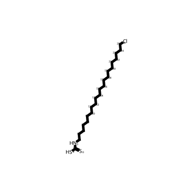 S=C(S)NCCCCCCCCCCCCCCCCCCCCCCCl